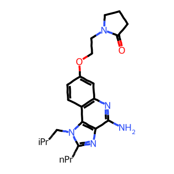 CCCc1nc2c(N)nc3cc(OCCN4CCCC4=O)ccc3c2n1CC(C)C